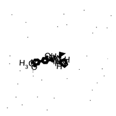 Cn1ccc(-c2ccc(-c3cnc(N(C4CC4)[C@H]4C[C@@H]5CC[C@@H](N5)[C@H]4F)cn3)c(O)c2)cc1=O